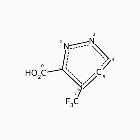 O=C(O)c1nnccc1C(F)(F)F